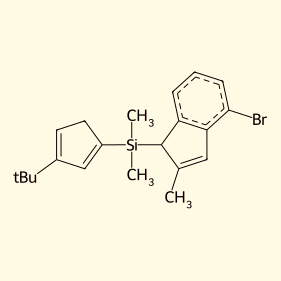 CC1=Cc2c(Br)cccc2C1[Si](C)(C)C1=CC(C(C)(C)C)=CC1